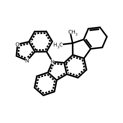 CC1(C)C2=C(CCC=C2)c2ccc3c4ccccc4n(-c4cccc5ocnc45)c3c21